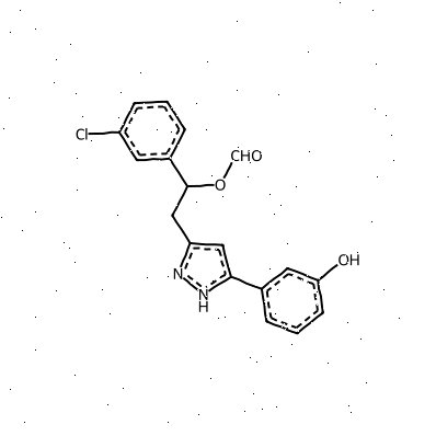 O=COC(Cc1cc(-c2cccc(O)c2)[nH]n1)c1cccc(Cl)c1